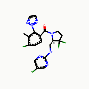 Cc1c(F)ccc(C(=O)N2CCC(F)(F)[C@H]2CNc2ncc(Cl)cn2)c1-n1nccn1